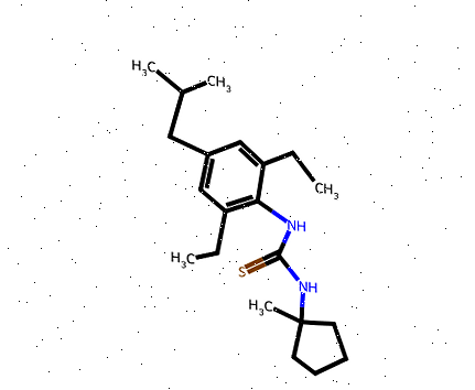 CCc1cc(CC(C)C)cc(CC)c1NC(=S)NC1(C)CCCC1